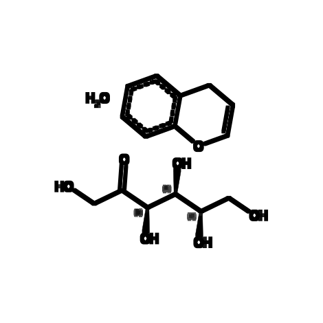 C1=COc2ccccc2C1.O.O=C(CO)[C@H](O)[C@@H](O)[C@H](O)CO